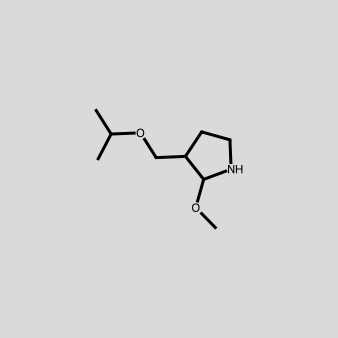 COC1NCCC1COC(C)C